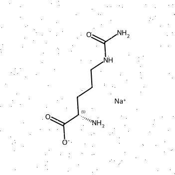 NC(=O)NCCC[C@H](N)C(=O)[O-].[Na+]